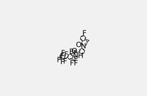 O=C(Nc1c(Br)cc(C(F)(C(F)(F)F)C(F)(F)F)cc1C(F)(F)F)c1cccc(N(CC2CC2)C(=O)c2ccc(F)cc2)c1